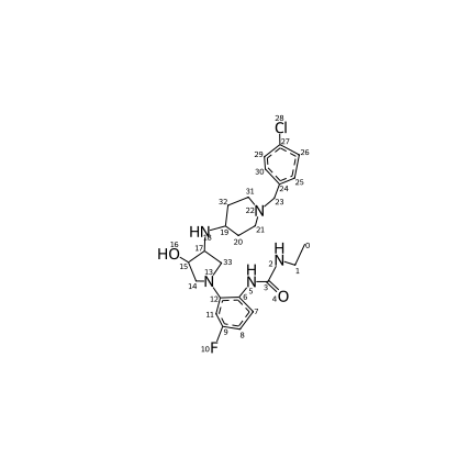 CCNC(=O)Nc1ccc(F)cc1N1CC(O)C(NC2CCN(Cc3ccc(Cl)cc3)CC2)C1